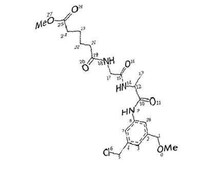 COCc1cc(CCl)cc(NC(=O)C(C)NC(=O)CNC(=O)CCCCC(=O)OC)c1